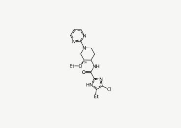 CCO[C@H]1CN(c2ncccn2)CCC1NC(=O)c1nc(Cl)c(CC)[nH]1